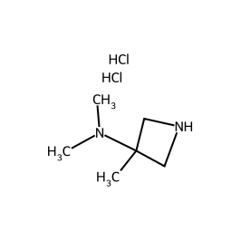 CN(C)C1(C)CNC1.Cl.Cl